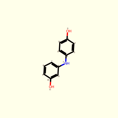 Oc1ccc(Nc2cccc(O)c2)cc1